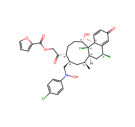 C[C@H]1C[C@@H](CN(O)c2ccc(Cl)cc2)[C@H](C(=O)COC(=O)c2ccco2)CC[C@H](O)[C@@]2(F)[C@H]1C[C@H](F)C1=CC(=O)C=C[C@@]12C